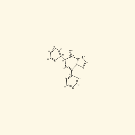 O=[N+]1c2sccc2C(c2ccccc2)=NC1c1ccccc1